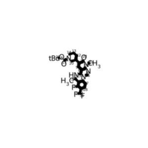 C[C@@H](Nc1ncnc2c1cc(C1=CCCN(C(=O)OC(C)(C)C)C1)c(=O)n2C)c1cccc(C(F)F)c1F